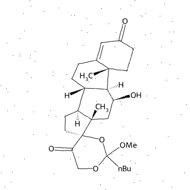 CCCCC1(OC)OCC(=O)[C@]2(CC[C@H]3[C@@H]4CCC5=CC(=O)CC[C@]5(C)[C@H]4[C@@H](O)C[C@@]32C)O1